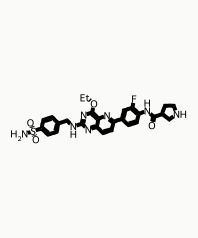 CCOc1nc(NCc2ccc(S(N)(=O)=O)cc2)nc2ccc(-c3ccc(NC(=O)C4CCNC4)c(F)c3)nc12